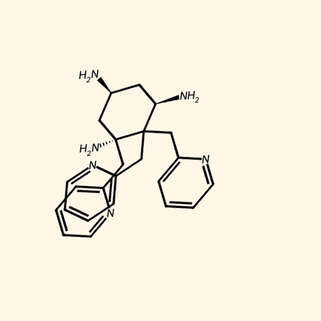 N[C@H]1C[C@@H](N)C(Cc2ccccn2)(Cc2ccccn2)[C@@](N)(Cc2ccccn2)C1